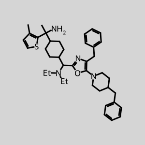 CCN(CC)C(c1nc(Cc2ccccc2)c(N2CCC(Cc3ccccc3)CC2)o1)C1CCC(C(C)(N)c2sccc2C)CC1